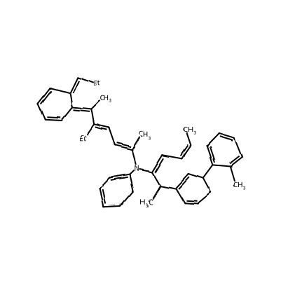 C/C=C\C=C(/C(C)C1=CC(c2ccccc2C)CC=C1)N(C1=CC=CCC1)/C(C)=C/C=C(CC)/C(C)=c1\cccc\c1=C\CC